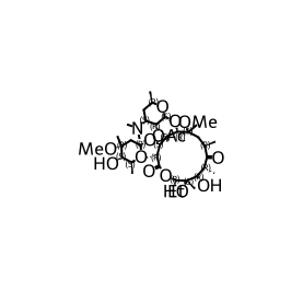 CC[C@H]1OC(=O)[C@H](C)[C@@H](O[C@H]2C[C@@](C)(OC)[C@@H](O)[C@H](C)O2)[C@H](C)[C@@H](O[C@@H]2O[C@H](C)C[C@H](N(C)C)[C@H]2OC(C)=O)[C@@](C)(OC)C[C@@H](C)C(=O)[C@H](C)[C@@H](O)[C@]1(C)O